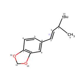 CC(/C=C/c1ccc2c(c1)OCO2)C(C)(C)C